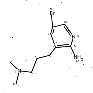 CN(C)CCCc1cc(Br)cnc1N